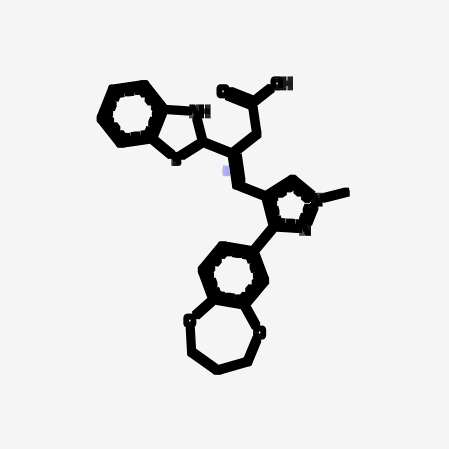 Cn1cc(/C=C(\CC(=O)O)C2Nc3ccccc3S2)c(-c2ccc3c(c2)OCCCO3)n1